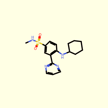 CNS(=O)(=O)c1ccc(NC2CCCCC2)c(-c2ncccn2)c1